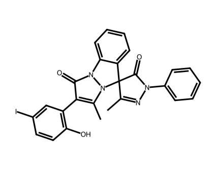 CC1=NN(c2ccccc2)C(=O)C12c1ccccc1-n1c(=O)c(-c3cc(I)ccc3O)c(C)n12